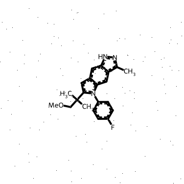 COCC(C)(C)c1cc2cc3[nH]nc(C)c3cc2n1-c1ccc(F)cc1